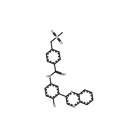 CS(=O)(=O)Cc1ccc(C(=N)Nc2ccc(Cl)c(-c3cnc4ccccc4n3)c2)cc1